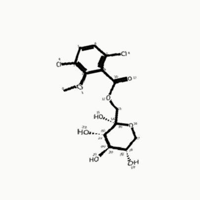 COc1c(Cl)ccc(Cl)c1C(=O)OC[C@@]1(O)OC[C@H](O)[C@@H](O)[C@@H]1O